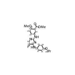 COC(=O)c1cc(Nc2ncc(F)c(Nc3ccc(OC(C)C)cc3)n2)ccc1OC